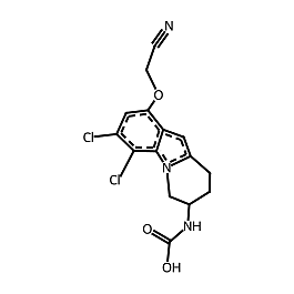 N#CCOc1cc(Cl)c(Cl)c2c1cc1n2CC(NC(=O)O)CC1